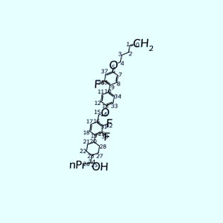 C=CCCCOc1ccc(-c2ccc(OCc3ccc(C4CCC(C(O)CCC)CC4)c(F)c3F)cc2)c(F)c1